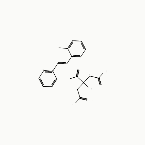 Clc1ccccc1C=Cc1ccccc1.O=C(O)CC(O)(CC(=O)O)C(=O)O